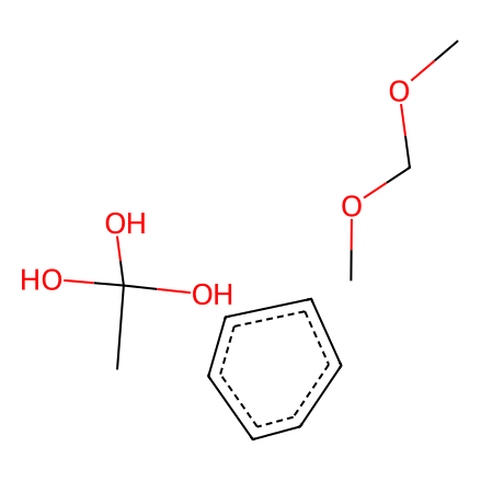 CC(O)(O)O.COCOC.c1ccccc1